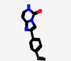 COc1ccc(-c2cn3c(=O)[nH]ccc3n2)cc1